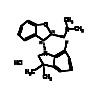 CN(C)C[C@@H]1Oc2ccccc2[C@H]1N1CC(C)(C)c2cccc(F)c21.Cl